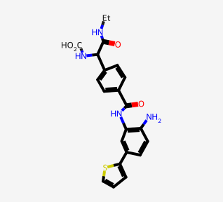 CCNC(=O)C(NC(=O)O)c1ccc(C(=O)Nc2cc(-c3cccs3)ccc2N)cc1